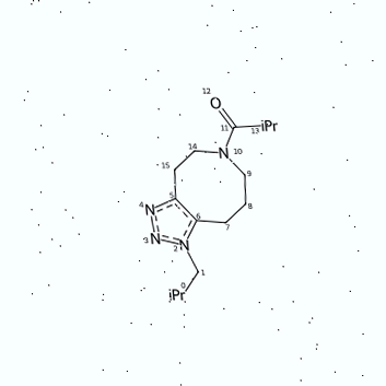 CC(C)Cn1nnc2c1CCCN(C(=O)C(C)C)CC2